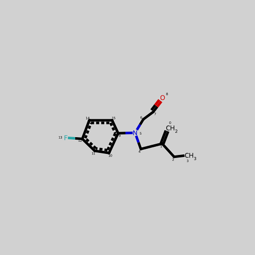 C=C(CC)CN(CC=O)c1ccc(F)cc1